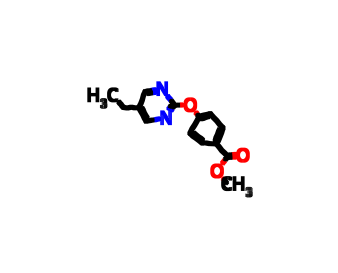 CCc1cnc(Oc2ccc(C(=O)OC)cc2)nc1